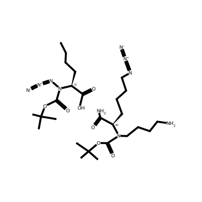 CC(C)(C)OC(=O)N(CCCCN)[C@H](CCCCN=[N+]=[N-])C(N)=O.CCCC[C@@H](C(=O)O)N(N=[N+]=[N-])C(=O)OC(C)(C)C